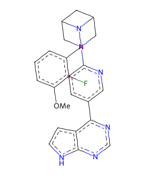 COc1cccc(CN2C3CC2CN(c2ccc(-c4ncnc5[nH]ccc45)cn2)C3)c1F